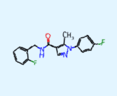 Cc1c(C(=O)NCc2ccccc2F)cnn1-c1ccc(F)cc1